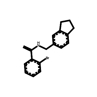 C=C(NCc1ccc2c(c1)CCC2)c1ccccc1Br